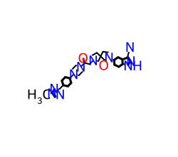 Cn1cnc(-c2ccc(N3CCN(C(=O)CN4CCC5(CCN(c6ccc7[nH]nc(C#N)c7c6)C5=O)C4)CC3)cc2)n1